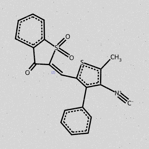 [C-]#[N+]c1c(C)sc(/C=C2/C(=O)c3ccccc3S2(=O)=O)c1-c1ccccc1